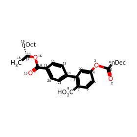 CCCCCCCCCCC(=O)Oc1ccc(C(=O)O)c(-c2ccc(C(=O)O[C@H](C)CCCCCCCC)cc2)c1